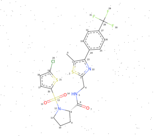 Cc1sc(CNC(=O)[C@@H]2CCCN2S(=O)(=O)c2ccc(Cl)s2)nc1-c1ccc(C(F)(F)F)cc1